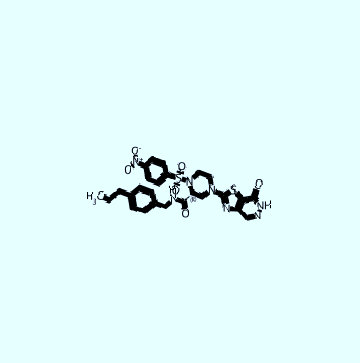 CCCc1ccc(CNC(=O)[C@H]2CN(c3nc4cn[nH]c(=O)c4s3)CCN2S(=O)(=O)c2ccc([N+](=O)[O-])cc2)cc1